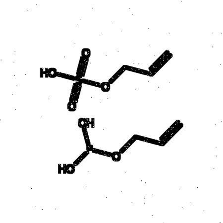 C=CCOP(O)O.C=CCOS(=O)(=O)O